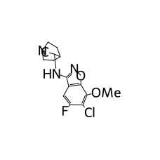 COc1c(Cl)c(F)cc2c(NC3CN4CCC3CC4)noc12